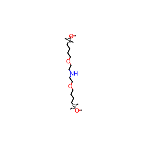 CO[Si](C)(C)CCCCOCCNCCOCCCC[Si](C)(C)OC